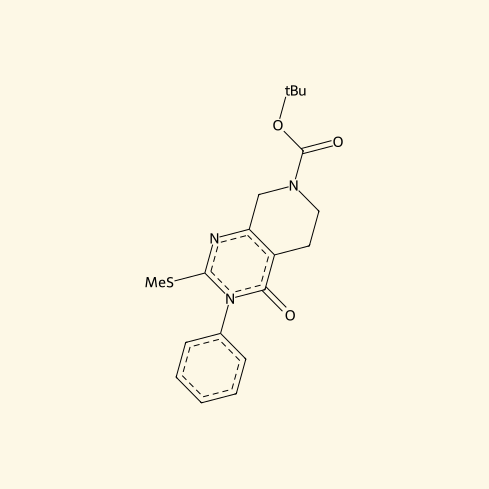 CSc1nc2c(c(=O)n1-c1ccccc1)CCN(C(=O)OC(C)(C)C)C2